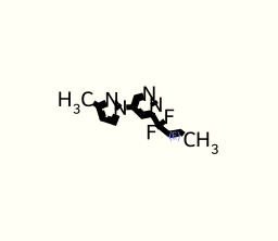 C/C=C/C(F)(F)c1cc(-n2ccc(C)n2)cnn1